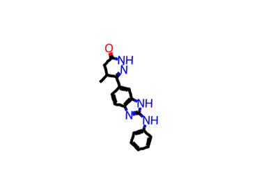 CC1CC(=O)NN=C1c1ccc2nc(Nc3ccccc3)[nH]c2c1